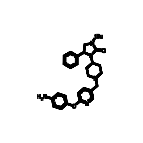 CC(C)(C)N1CC(c2ccccc2)N(C2CCN(Cc3ccc(Oc4ccc(N)cc4)nc3)CC2)C1=O